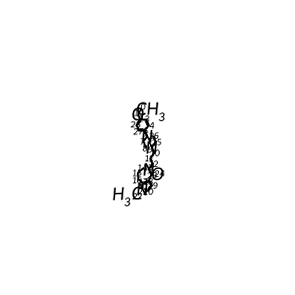 COc1ccc(N2CCN(CCCN3CCCc4c(ccn4C)C3=O)CC2)cc1